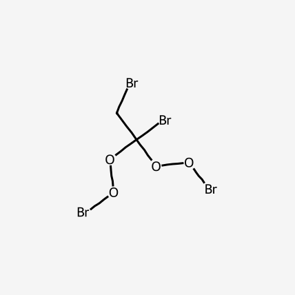 BrCC(Br)(OOBr)OOBr